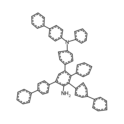 Nc1c(-c2ccc(-c3ccccc3)cc2)cc(-c2ccc(N(c3ccccc3)c3ccc(-c4ccccc4)cc3)cc2)c(-c2ccccc2)c1-c1ccc(-c2ccccc2)cc1